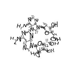 Nc1ncnc2c1ncn2[C@@H]1O[C@H](CO)[C@@H](O)[C@H]1O.Nc1ncnc2c1ncn2[C@H]1C[C@H](O)[C@@H](CO)O1